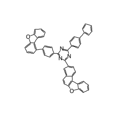 c1ccc(-c2ccc(-c3nc(-c4ccc(-c5cccc6oc7ccccc7c56)cc4)nc(-c4ccc5c(ccc6oc7ccccc7c65)c4)n3)cc2)cc1